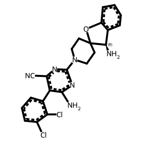 N#Cc1nc(N2CCC3(CC2)Oc2ccccc2[C@H]3N)nc(N)c1-c1cccc(Cl)c1Cl